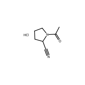 CC(=O)N1CCCC1C#N.Cl